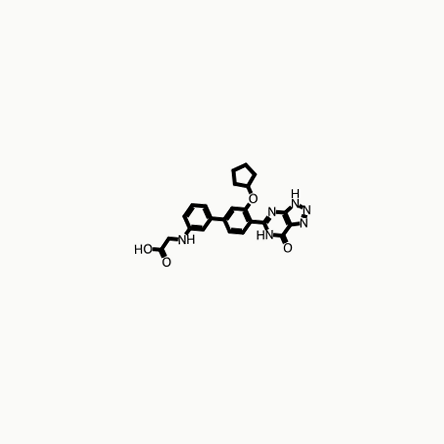 O=C(O)CNc1cccc(-c2ccc(-c3nc4[nH]nnc4c(=O)[nH]3)c(OC3CCCC3)c2)c1